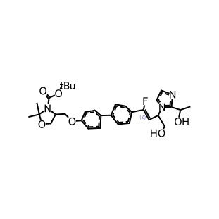 CC(O)c1nccn1C(/C=C(\F)c1ccc(-c2ccc(OCC3COC(C)(C)N3C(=O)OC(C)(C)C)cc2)cc1)CO